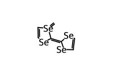 C=[Se]1C=C[Se]C1=C1[Se]C=C[Se]1